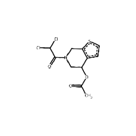 CC(=O)OC1CN(C(=O)C(Cl)Cl)Cc2sccc21